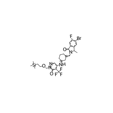 CC1c2cc(Br)c(F)cc2C(=O)N1C[C@@H]1CCC[C@H](Nc2cnn(COCC[Si](C)(C)C)c(=O)c2C(F)(F)F)C1